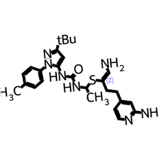 Cc1ccc(-n2nc(C(C)(C)C)cc2NC(=O)NC(C)S/C(=C\N)CCc2ccnc(N)c2)cc1